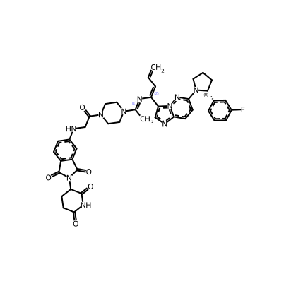 C=C/C=C(\N=C(/C)N1CCN(C(=O)CNc2ccc3c(c2)C(=O)N(C2CCC(=O)NC2=O)C3=O)CC1)c1cnc2ccc(N3CCC[C@@H]3c3cccc(F)c3)nn12